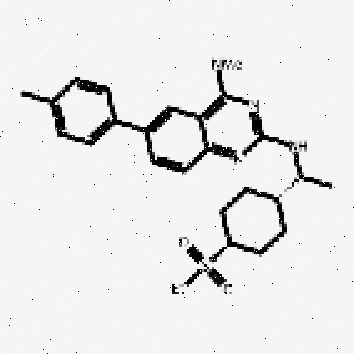 CCS(=O)(=O)[C@H]1CC[C@H](C(C)Nc2nc(NC)c3cc(-c4ccc(C)cc4)ccc3n2)CC1